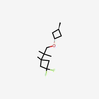 CC(C)(CO[C@H]1C[C@H](C)C1)C1(C)CC(F)(F)C1